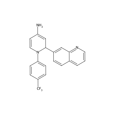 NC1=CC(c2ccc3cccnc3c2)N(c2ccc(C(F)(F)F)cc2)C=C1